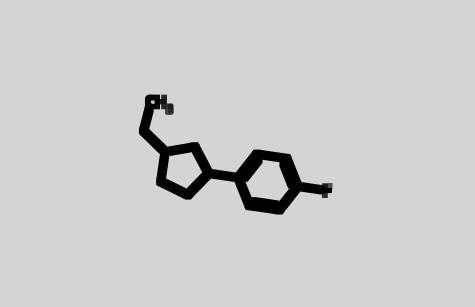 CCC1CCC(c2ccc(F)cc2)C1